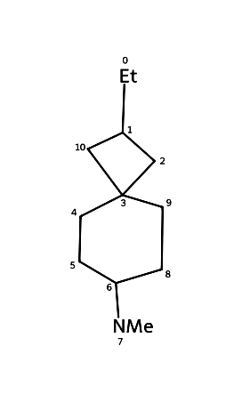 CCC1CC2(CCC(NC)CC2)C1